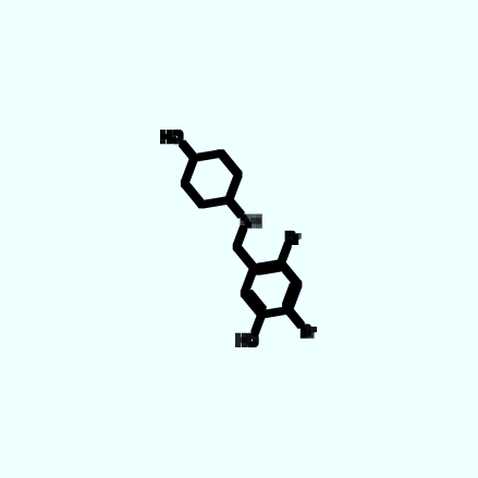 Oc1cc(CNC2CCC(O)CC2)c(Br)cc1Br